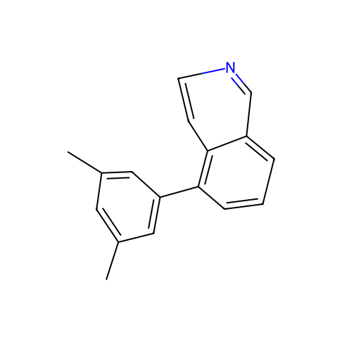 Cc1cc(C)cc(-c2cccc3cnccc23)c1